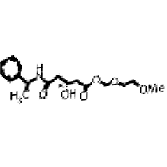 COCCOCOC(=O)C[C@H](O)CC(=O)NC(C)c1ccccc1